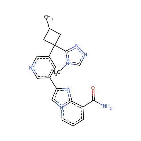 CC1CC(c2cncc(-c3cn4cccc(C(N)=O)c4n3)c2)(c2nncn2C)C1